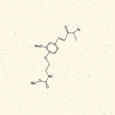 COc1cc(C=CC(=O)C(C)C(C)=O)ccc1OCCNC(=O)OC(C)(C)C